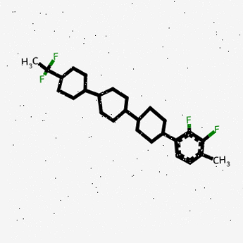 Cc1ccc(C2CCC(C3CCC(C4CCC(C(C)(F)F)CC4)CC3)CC2)c(F)c1F